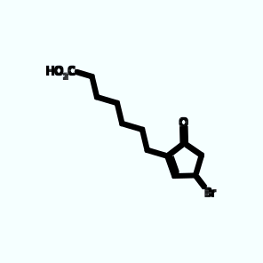 O=C(O)CCCCCCC1=CC(Br)CC1=O